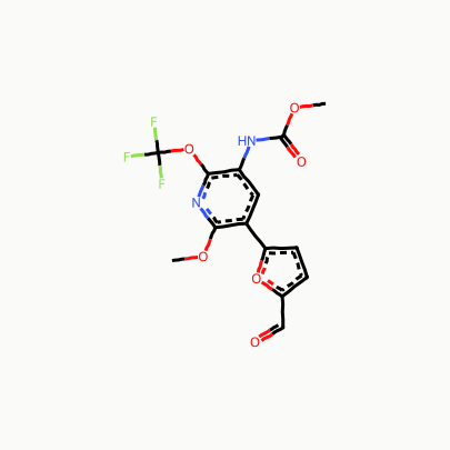 COC(=O)Nc1cc(-c2ccc(C=O)o2)c(OC)nc1OC(F)(F)F